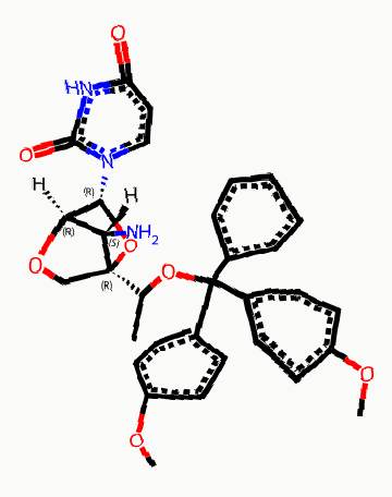 COc1ccc(C(OC(C)[C@@]23CO[C@@H]([C@H](n4ccc(=O)[nH]c4=O)O2)[C@@H]3N)(c2ccccc2)c2ccc(OC)cc2)cc1